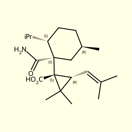 CC(C)=C[C@@H]1C(C)(C)[C@]1(C(=O)O)[C@]1(C(N)=O)C[C@H](C)CC[C@H]1C(C)C